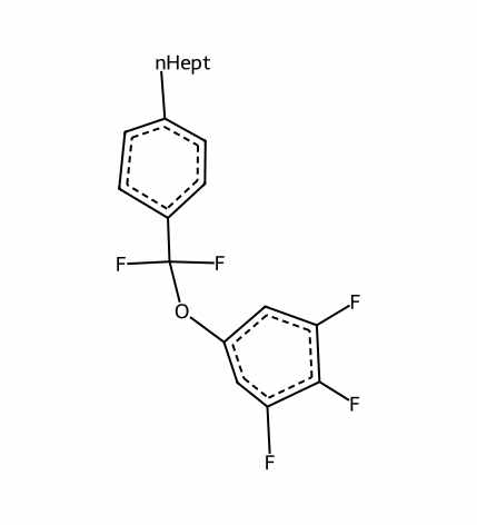 CCCCCCCc1ccc(C(F)(F)Oc2cc(F)c(F)c(F)c2)cc1